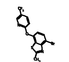 Cc1nc2c(Br)ccc(Oc3ccc(C(F)(F)F)cn3)c2s1